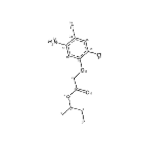 CCC(C)OC(=O)COc1cc(N)c(F)cc1Cl